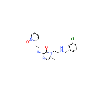 Cc1cnc(NCCc2cccc[n+]2[O-])c(=O)n1CCNCc1cccc(Cl)c1